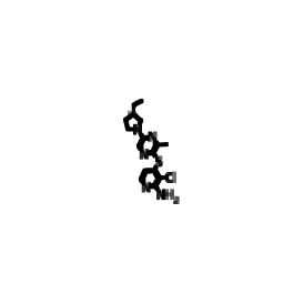 CC[C@@H]1CCN(c2cnc(Sc3ccnc(N)c3Cl)c(C)n2)C1